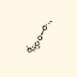 C=CCCc1ccc(C#Cc2ccc(-c3cc(F)c(C(F)(F)Oc4cc(F)c(F)c(F)c4)c(F)c3)cc2)cc1